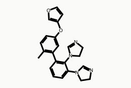 Cc1ccc(Oc2ccoc2)cc1-c1cccc(N2C=NCC2)c1N1C=NCC1